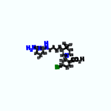 Cc1cc(N)nc(NCCCCC2CN(c3cc(Br)ccc3C(=O)O)CCC23CC3)c1